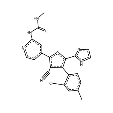 CNC(=O)Nc1cc(-c2sc(-c3ncc[nH]3)c(-c3ccc(C)cc3Cl)c2C#N)ccn1